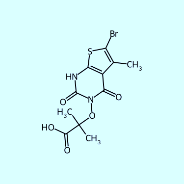 Cc1c(Br)sc2[nH]c(=O)n(OC(C)(C)C(=O)O)c(=O)c12